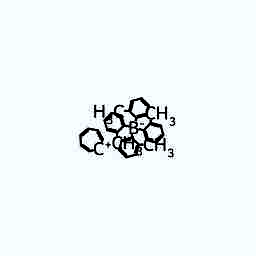 Cc1ccccc1[B-](c1ccccc1C)(c1ccccc1C)c1ccccc1C.c1ccc[cH+]cc1